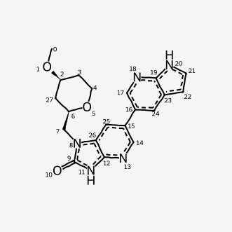 CO[C@H]1CCO[C@@H](Cn2c(=O)[nH]c3ncc(-c4cnc5[nH]ccc5c4)cc32)C1